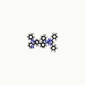 c1ccc(-c2cc(-c3ccccc3)nc(-n3c4ccccc4c4c(-c5ccc6c(c5)c5ncccc5n6-c5ccccc5)cccc43)n2)cc1